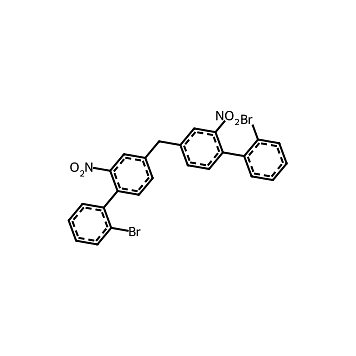 O=[N+]([O-])c1cc(Cc2ccc(-c3ccccc3Br)c([N+](=O)[O-])c2)ccc1-c1ccccc1Br